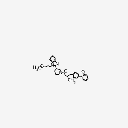 COCCCn1c([C@@H]2CCCN(C(=O)C[C@H](C)Cc3ccc(-n4ccccc4=O)cc3)C2)nc2ccccc21